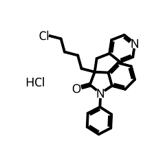 Cl.O=C1N(c2ccccc2)c2ccccc2C1(CCCCCl)Cc1ccncc1